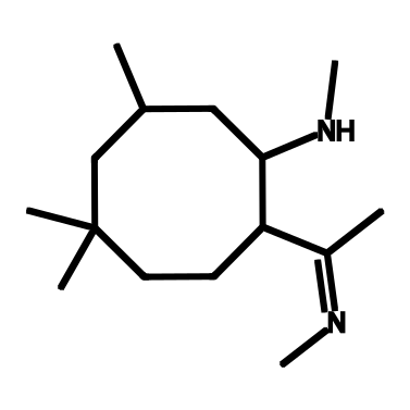 C/N=C(/C)C1CCC(C)(C)CC(C)CC1NC